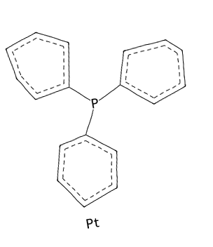 [Pt].c1ccc(P(c2ccccc2)c2ccccc2)cc1